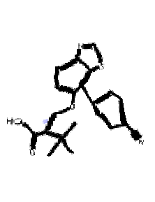 CC(C)(C)/C(=C\Oc1ccc2ncsc2c1-c1ccc(C#N)cc1)C(=O)O